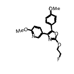 COc1ccc(-c2oc(OCCF)nc2-c2ccc(OC)nc2)cc1